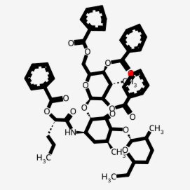 CCC[C@H](OC(=O)c1ccccc1)C(=O)N[C@@H]1C[C@H](C)C(O[C@H]2OC(CC)CCC2C)C(=O)[C@H]1O[C@H]1OC(COC(=O)c2ccccc2)[C@@H](OC(=O)c2ccccc2)[C@H](C)C1OC(=O)c1ccccc1